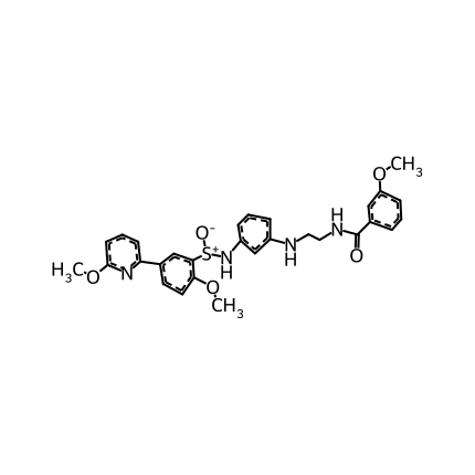 COc1cccc(C(=O)NCCNc2cccc(N[S+]([O-])c3cc(-c4cccc(OC)n4)ccc3OC)c2)c1